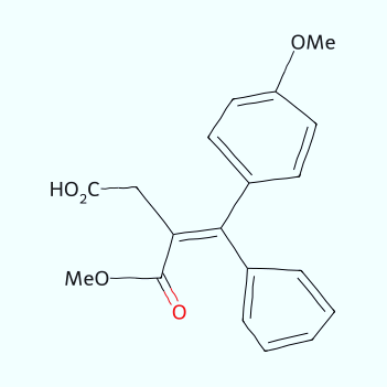 COC(=O)/C(CC(=O)O)=C(\c1ccccc1)c1ccc(OC)cc1